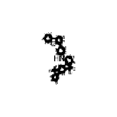 CC1(C)c2ccccc2-c2cc3c(cc21)-c1c(NC2=CC=C(c4cccc5c4oc4ccccc45)CC2)cccc1C3(C)C